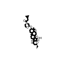 C[C@@H]1C[C@H](CI)O[C@H]2[C@H]1[C@@]1(C)CCC34C[C@@]35CC[C@H](O[C@H]3CN(C(=O)CC6CC6)CCO3)C(C)(C)[C@@H]5CC[C@H]4[C@]1(C)[C@H]2O